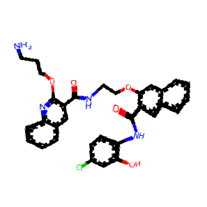 NCCCOc1nc2ccccc2cc1C(=O)NCCOc1cc2ccccc2cc1C(=O)Nc1ccc(Cl)cc1O